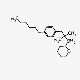 CCCCCCc1ccc(CC(C)(C)[SiH2]C2CCCCO2)cc1